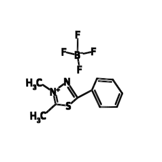 Cc1sc(-c2ccccc2)n[n+]1C.F[B-](F)(F)F